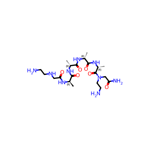 C[C@@H](NC(=O)CNCCN)C(=O)N[C@H](C)C(=O)N[C@H](C)C(=O)N[C@H](C)C(=O)N(CCN)CC(N)=O